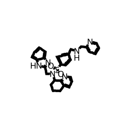 O=S(=O)(c1ccc(CNCc2ccccn2)cc1)N(Cc1nc2ccccc2[nH]1)C1CCCc2cccnc21